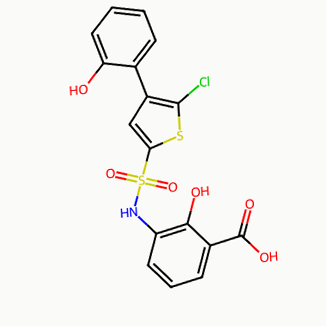 O=C(O)c1cccc(NS(=O)(=O)c2cc(-c3ccccc3O)c(Cl)s2)c1O